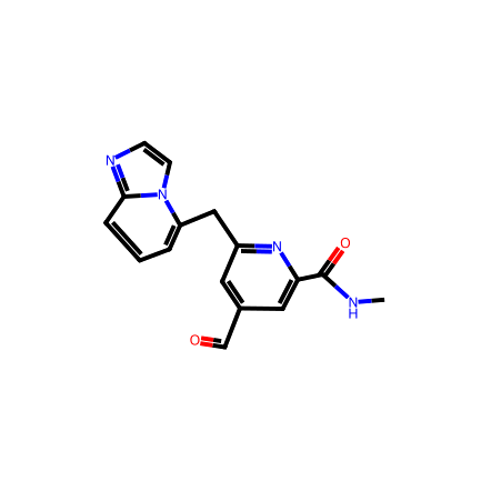 CNC(=O)c1cc(C=O)cc(Cc2cccc3nccn23)n1